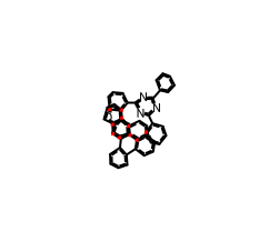 c1ccc(-c2nc(-c3ccccc3)nc(-c3cccc4oc5ccc(-c6ccccc6-c6ccccc6-c6cc7ccccc7c7ccccc67)cc5c34)n2)cc1